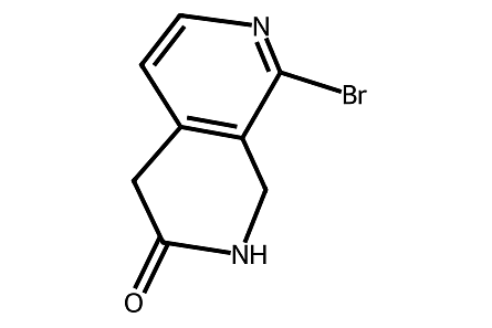 O=C1Cc2ccnc(Br)c2CN1